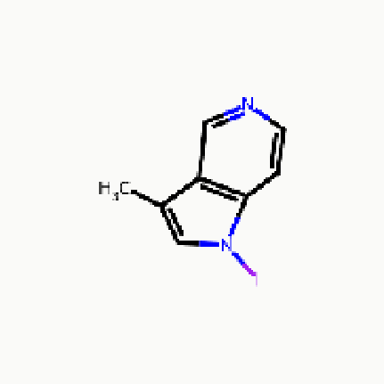 Cc1cn(I)c2ccncc12